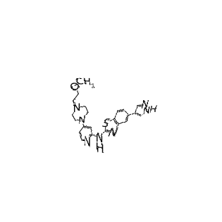 COCCN1CCN(c2ccnc(Nc3nc4cc(-c5cn[nH]c5)ccc4s3)c2)CC1